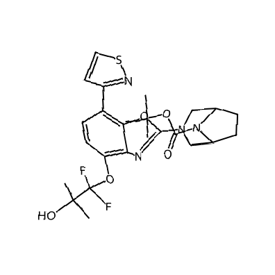 CC(C)(C)OC(=O)N1C2CCC1CN(c1nc3c(OC(F)(F)C(C)(C)O)ccc(-c4ccsn4)c3o1)C2